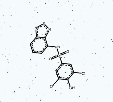 O=S(=O)(Nc1cccc2nsnc12)c1cc(Cl)c(O)c(Cl)c1